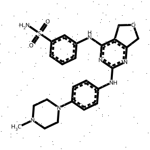 CN1CCN(c2ccc(Nc3nc4c(c(Nc5cccc(S(N)(=O)=O)c5)n3)COC4)cc2)CC1